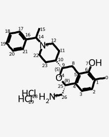 Cc1ccc2c(c1O)C[C@@H](C1CCN(C(C)c3ccccc3)CC1)O[C@H]2CN.Cl.Cl